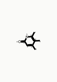 CC1=[C]C(=O)[N]C(C)=C1C